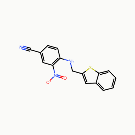 N#Cc1ccc(NCc2cc3ccccc3s2)c([N+](=O)[O-])c1